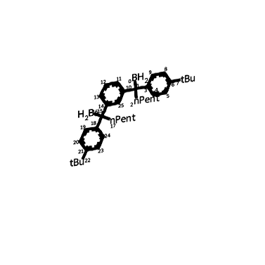 BC(CCCCC)(c1ccc(C(C)(C)C)cc1)c1cccc(C(B)(CCCCC)c2ccc(C(C)(C)C)cc2)c1